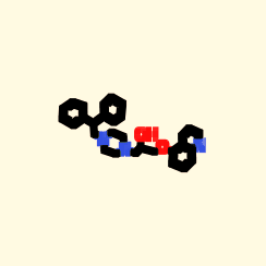 OC(COc1cccc2ncccc12)CN1CCN(CC(c2ccccc2)c2ccccc2)CC1